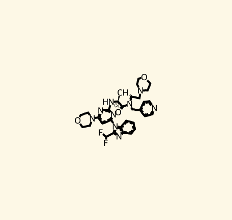 C[C@H](Nc1nc(N2CCOCC2)cc(-n2c(C(F)F)nc3ccccc32)n1)C(=O)N(CCN1CCOCC1)Cc1ccncc1